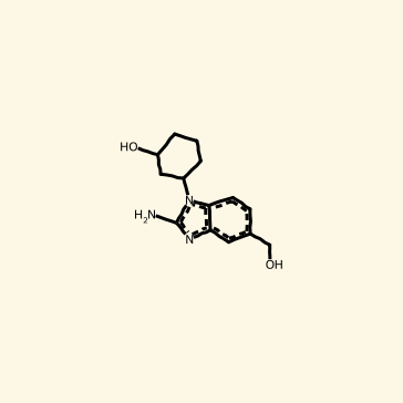 Nc1nc2cc(CO)ccc2n1C1CCCC(O)C1